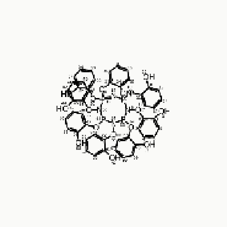 Oc1ccccc1ON1P(Oc2ccccc2O)N=P(Oc2ccccc2O)(Oc2ccccc2O)N(Oc2ccccc2O)P(Oc2ccccc2O)N(Oc2ccccc2O)P1Oc1ccccc1O